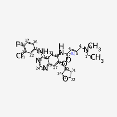 CCN(C)C/C=C/C(=O)Nc1cc2c(Nc3ccc(F)c(Cl)c3)ncnc2cc1O[C@H]1CCOC1